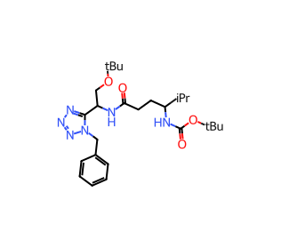 CC(C)C(CCC(=O)NC(COC(C)(C)C)c1nnnn1Cc1ccccc1)NC(=O)OC(C)(C)C